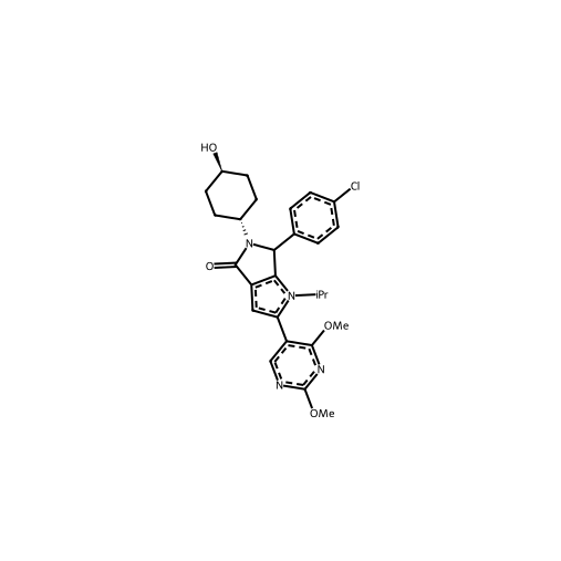 COc1ncc(-c2cc3c(n2C(C)C)C(c2ccc(Cl)cc2)N([C@H]2CC[C@H](O)CC2)C3=O)c(OC)n1